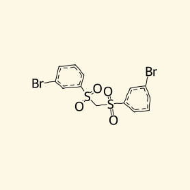 O=S(=O)(CS(=O)(=O)c1cccc(Br)c1)c1cccc(Br)c1